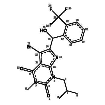 CC(C)Cn1c(=O)n(C)c(=O)c2c(Br)c(C(O)c3ccccc3C(F)(F)F)sc21